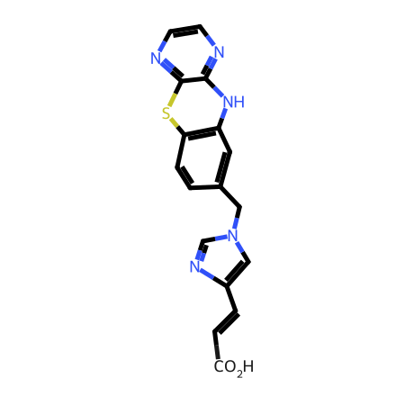 O=C(O)/C=C/c1cn(Cc2ccc3c(c2)Nc2nccnc2S3)cn1